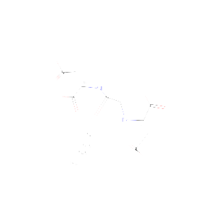 O=C([O-])C[C@H](NCC(=O)N[C@@H](CC(=O)[O-])C(=O)[O-])C(=O)[O-].[Na+].[Na+].[Na+].[Na+]